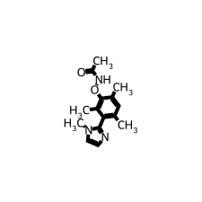 CC(=O)NOc1c(C)cc(C)c(-c2nccn2C)c1C